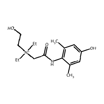 CC[N+](CC)(CCO)CC(=O)Nc1c(C)cc(O)cc1C